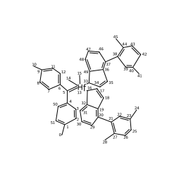 Cc1ccc([C](c2ccc(C)cc2)=[Hf]([CH3])([CH3])([CH]2C=Cc3c(-c4cc(C)ccc4C)cccc32)[CH]2C=Cc3c(-c4cc(C)ccc4C)cccc32)cc1